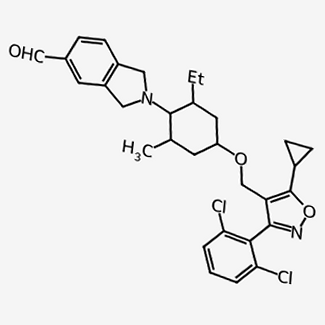 CCC1CC(OCc2c(-c3c(Cl)cccc3Cl)noc2C2CC2)CC(C)C1N1Cc2ccc(C=O)cc2C1